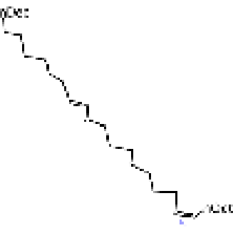 CCCCCCCC/C=C\CCCCCCC[CH]C=CCCCCCCCCCCCCCCCC